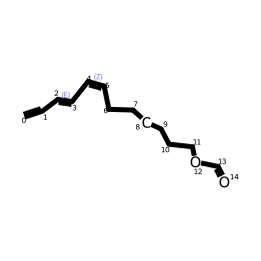 C=C/C=C/C=C\CCCCCCOC=O